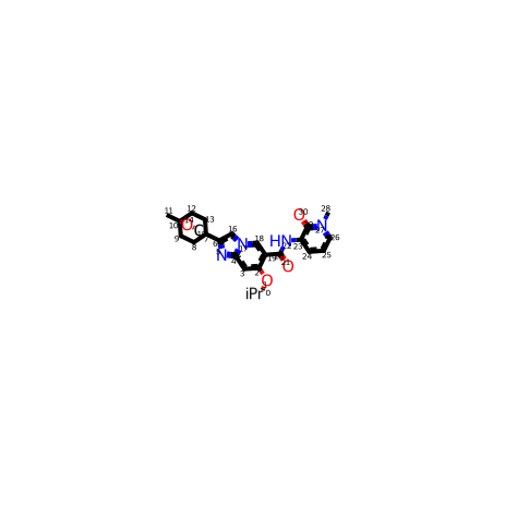 CC(C)Oc1cc2nc(C34CCC(C)(CC3)OC4)cn2cc1C(=O)Nc1cccn(C)c1=O